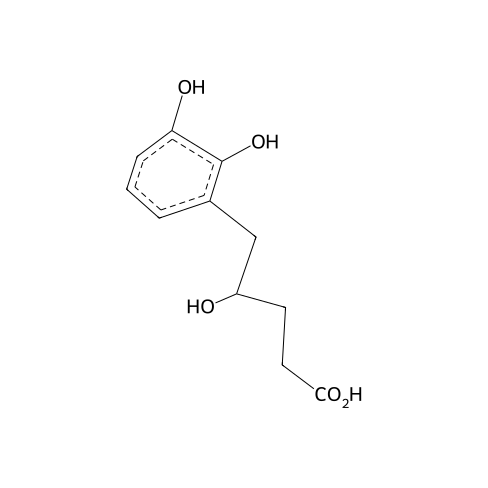 O=C(O)CCC(O)Cc1cccc(O)c1O